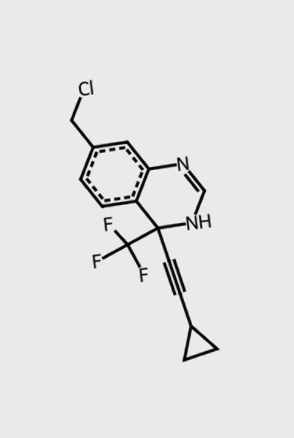 FC(F)(F)C1(C#CC2CC2)NC=Nc2cc(CCl)ccc21